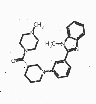 CN1CCN(C(=O)[C@H]2CCCN(c3cccc(-c4nc5ccccc5n4C)c3)C2)CC1